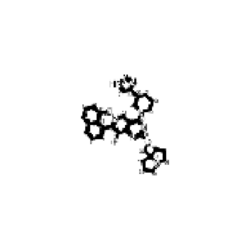 Fc1c(-c2cccc3cccc(Cl)c23)ncc2c(N3CCCC(c4c[nH]nn4)C3)nc(OCC34CCCN3CCC4)nc12